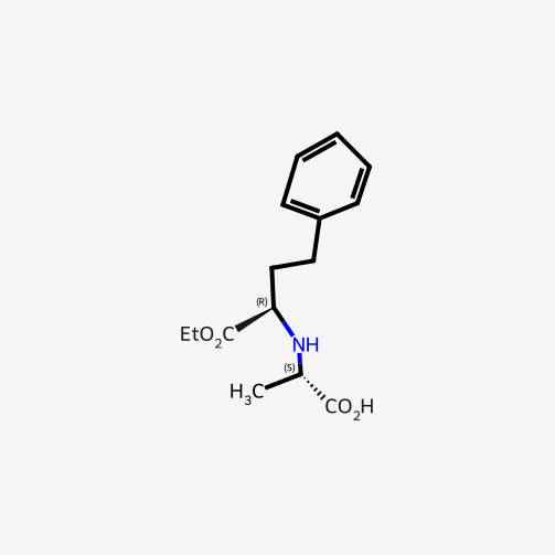 CCOC(=O)[C@@H](CCc1ccccc1)N[C@@H](C)C(=O)O